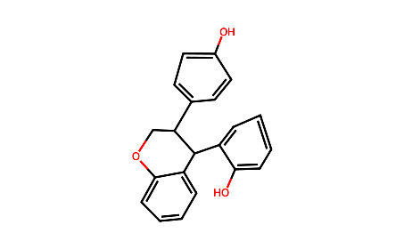 Oc1ccc(C2COc3ccccc3C2c2ccccc2O)cc1